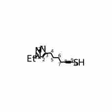 CCn1cc(CCCCC#CS)nn1